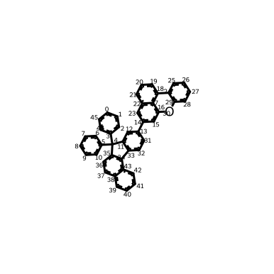 c1ccc(C2(c3ccccc3)c3cc(-c4cc5c6c(cccc6c4)-c4ccccc4O5)ccc3-c3c2ccc2ccccc32)cc1